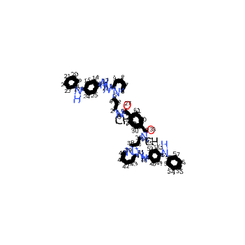 CN(CCC[n+]1ccccc1N=Nc1ccc(Nc2ccccc2)cc1)C(=O)c1ccc(C(=O)N(C)CCC[n+]2ccccc2/N=N/c2ccc(Nc3ccccc3)cc2)cc1